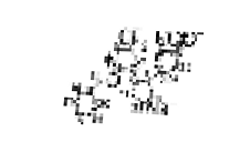 O=C([O-])c1cc(C2=C(c3cc(C(F)(F)F)cnc3OCc3ccccc3)CCC2)ccc1F.[Na+]